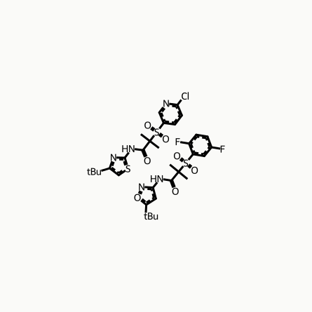 CC(C)(C)c1cc(NC(=O)C(C)(C)S(=O)(=O)c2cc(F)ccc2F)no1.CC(C)(C)c1csc(NC(=O)C(C)(C)S(=O)(=O)c2ccc(Cl)nc2)n1